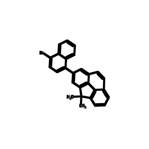 CC1(C)c2cccc3ccc4cc(-c5ccc(Br)c6ccccc56)cc1c4c23